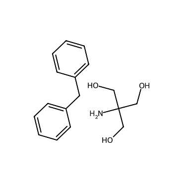 NC(CO)(CO)CO.c1ccc(Cc2ccccc2)cc1